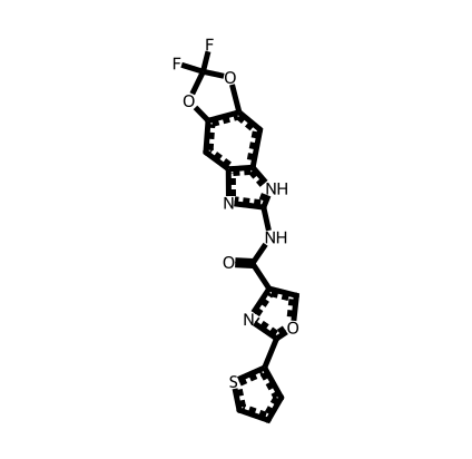 O=C(Nc1nc2cc3c(cc2[nH]1)OC(F)(F)O3)c1coc(-c2cccs2)n1